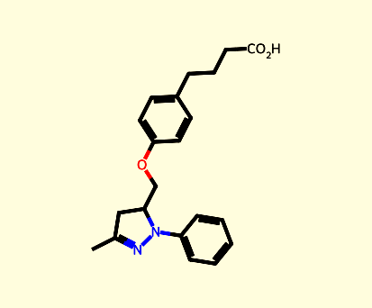 CC1=NN(c2ccccc2)C(COc2ccc(CCCC(=O)O)cc2)C1